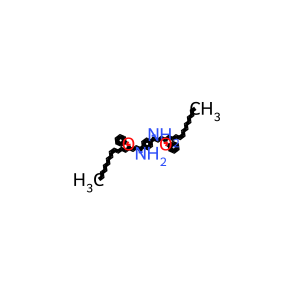 CCCCCCCC/C=C\CCCC(CCC(N)c1ccc(C(N)CCC(CCC/C=C\CCCCCCCC)Oc2ccccc2)cc1)Oc1ccccc1